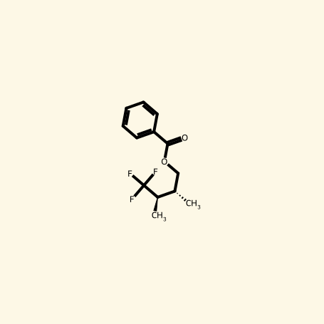 C[C@H]([C@@H](C)COC(=O)c1ccccc1)C(F)(F)F